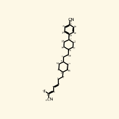 N#CC(F)=CC=CCCC1CCC(CCC2CCC(c3ccc(C#N)cc3)CC2)CC1